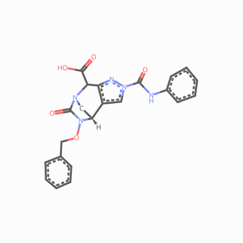 O=C(O)C1c2nn(C(=O)Nc3ccccc3)cc2[C@H]2CN1C(=O)N2OCc1ccccc1